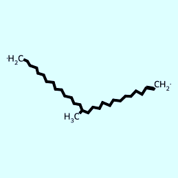 [CH2]C=CCCCCCCCCCCCC(C)CCCCCCCCCCCCC[CH2]